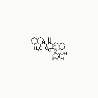 CC(C)C[C@H](NC(=O)[C@H](Cc1ccccc1)NC(=O)N1CCc2ccccc2C1C)B(O)O